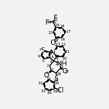 O=C1CC(c2ccsc2)(c2cccc(Oc3cccc(C(F)F)c3)n2)NC(=O)C1Sc1ccccc1Cl